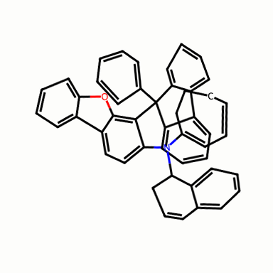 C1=CCCCC(N(c2ccc3c(oc4ccccc43)c2C2(c3ccccc3)c3ccccc3-c3ccccc32)C2CC=Cc3ccccc32)=C1